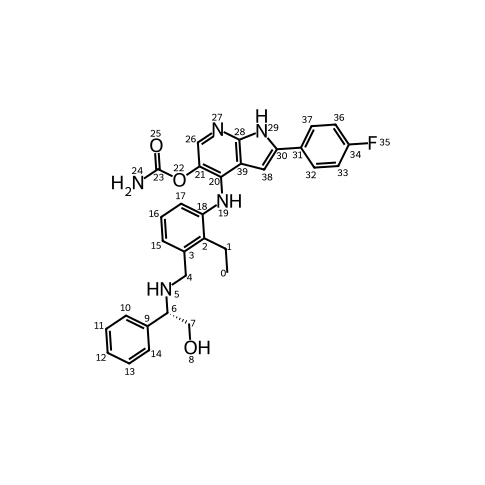 CCc1c(CN[C@H](CO)c2ccccc2)cccc1Nc1c(OC(N)=O)cnc2[nH]c(-c3ccc(F)cc3)cc12